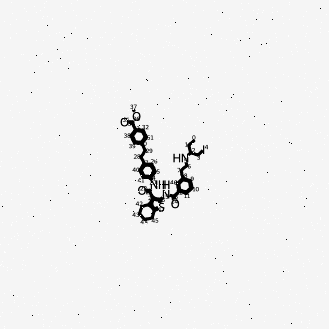 CCC(CI)NCCc1cccc(C(=O)Nc2sc3c(c2C(=O)Nc2ccc(CCc4ccc(C(=O)OC)cc4)cc2)CCCC3)c1